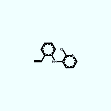 C=Cc1ccccc1Nc1cccnc1Cl